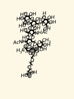 CC(=O)NC1C(OC2C(CO[C@H]3O[C@@H](C)C(O)C(O)C3O)OC(OC(C)(C)CC(C)CNC(=O)OCCOCCOCCP(=O)(O)O)C(NC(C)=O)C2O)OC(CO)C(OC2OC(COC3OC(CO)C(O)C(O)C3O)C(O)C(O[C@H]3O[C@@H](CO)C(O)C(O)C3O)C2O)C1O